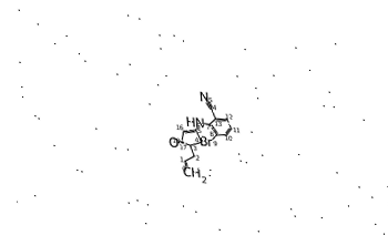 C=CCC1CC(Nc2c(Br)cccc2C#N)=CC1=O